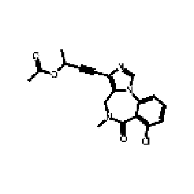 CC(=O)OC(C)C#Cc1ncn2c1CN(C)C(=O)c1c(Cl)cccc1-2